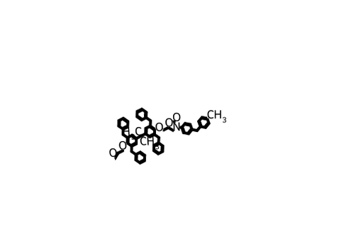 Cc1ccc(Cc2ccc(N3CC(COc4c(Cc5ccccc5)cc(C(C)(C)c5cc(Cc6ccccc6)c(OCC6CO6)c(Cc6ccccc6)c5)cc4Cc4ccccc4)OC3=O)cc2)cc1